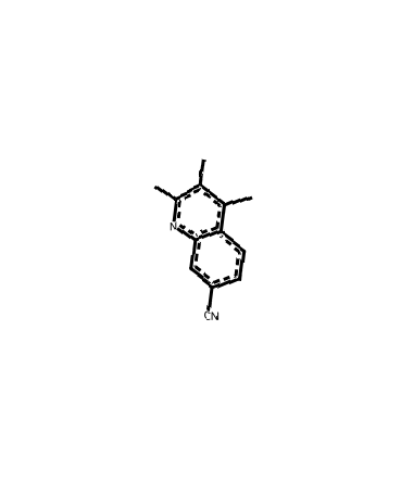 Cc1nc2cc(C#N)ccc2c(C)c1C